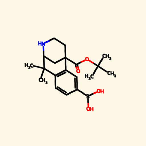 CC(C)(C)OC(=O)C12CCNC(C1)C(C)(C)c1ccc(B(O)O)cc12